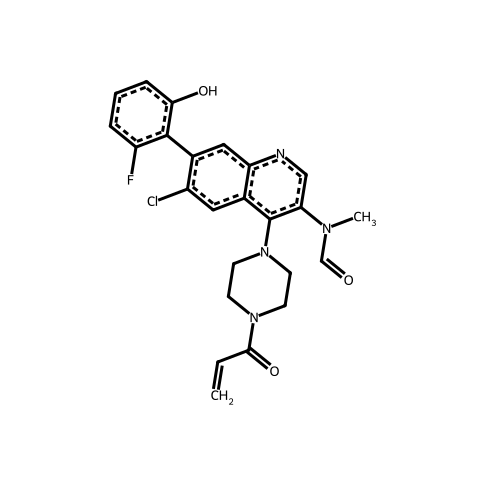 C=CC(=O)N1CCN(c2c(N(C)C=O)cnc3cc(-c4c(O)cccc4F)c(Cl)cc23)CC1